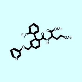 COC(=O)C(CCSC)NC(=O)c1ccc(COc2cccnc2)cc1-c1ccccc1C(F)(F)F